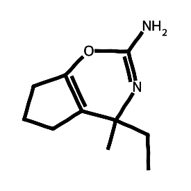 CCC1(C)N=C(N)OC2=C1CCC2